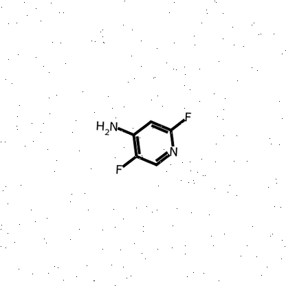 Nc1cc(F)ncc1F